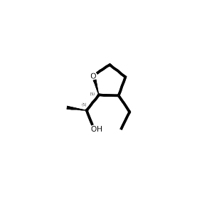 CCC1CCO[C@@H]1[C@H](C)O